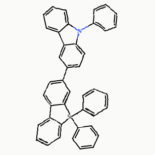 c1ccc(-n2c3ccccc3c3cc(-c4ccc5c(c4)[Si](c4ccccc4)(c4ccccc4)c4ccccc4-5)ccc32)cc1